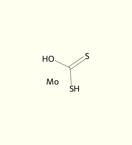 OC(=S)S.[Mo]